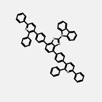 c1ccc(-c2ccc(-c3ccc(-c4ccc(-c5ccc(-c6ccc(-c7ccccc7)nc6-c6ccccc6)cc5)c5sc(-n6c7ccccc7c7ccccc76)nc45)cc3)c(-c3ccccc3)n2)cc1